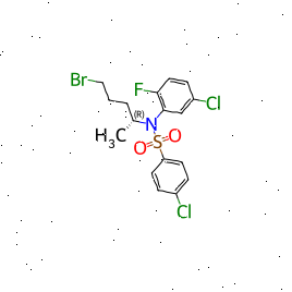 C[C@H](CCCBr)N(c1cc(Cl)ccc1F)S(=O)(=O)c1ccc(Cl)cc1